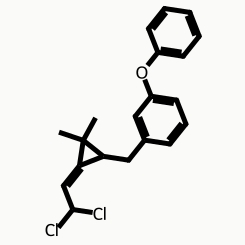 CC1(C)C(=CC(Cl)Cl)C1Cc1cccc(Oc2ccccc2)c1